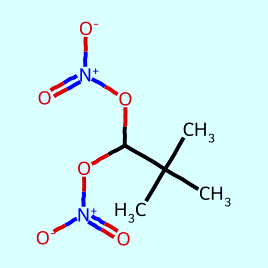 CC(C)(C)C(O[N+](=O)[O-])O[N+](=O)[O-]